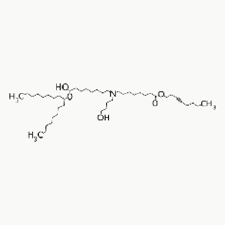 CCCCC#CCCOC(=O)CCCCCCCN(CCCCO)CCCCCCCC(O)OC(CCCCCCCC)CCCCCCCC